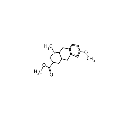 COC(=O)C1CC2Cc3cc(OC)ccc3CC2N(C)C1